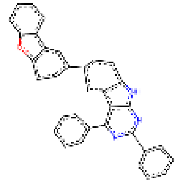 c1ccc(-c2nc(-c3ccccc3)c3c(n2)[nH]c2ccc(-c4ccc5oc6ccccc6c5c4)cc23)cc1